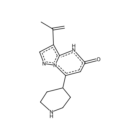 C=C(C)c1cnn2c(C3CCNCC3)cc(=O)[nH]c12